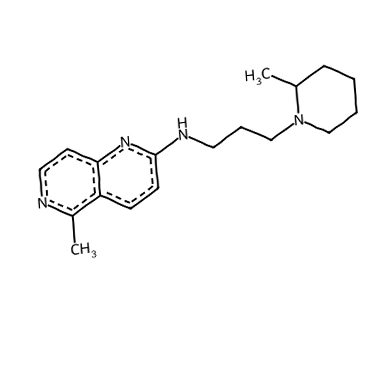 Cc1nccc2nc(NCCCN3CCCCC3C)ccc12